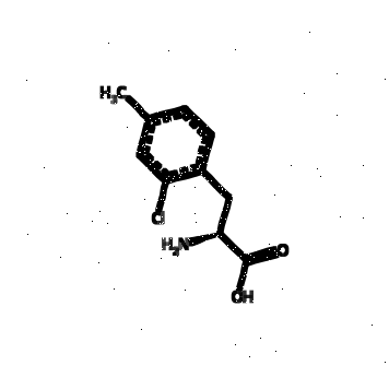 Cc1ccc(C[C@H](N)C(=O)O)c(Cl)c1